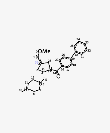 CO/N=C1/C[C@@H](CN2CCN(C)CC2)N(C(=O)c2ccc(-c3ccccc3)cc2)C1